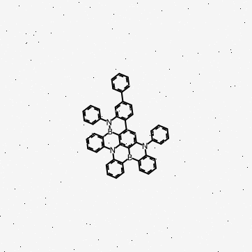 c1ccc(-c2ccc3c(c2)N(c2ccccc2)B2c4ccccc4N4c5ccccc5B5c6ccccc6N(c6ccccc6)c6cc-3c2c4c65)cc1